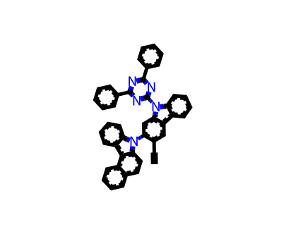 C#Cc1cc2c3ccccc3n(-c3nc(-c4ccccc4)nc(-c4ccccc4)n3)c2cc1-n1c2ccccc2c2c3ccccc3ccc21